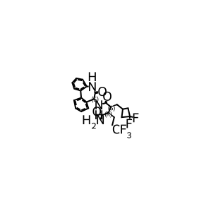 NC(=O)[C@H](CCC(F)(F)F)[C@H](CC1CC(F)(F)C1)C(=O)N[C@@H]1C(=O)Nc2ccccc2-c2ccccc21